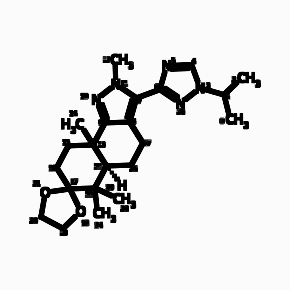 CC(C)n1cnc(-c2c3c(nn2C)C2(C)CCC4(OCCO4)C(C)(C)[C@@H]2CC3)n1